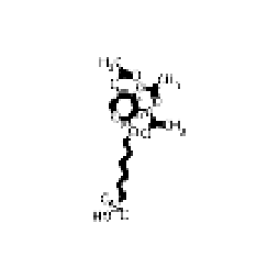 CC(=O)O[C@@H]1[C@@H](OC(C)=O)[C@H](OCCCCCCS(=O)(=O)O)OC[C@H]1OC(C)=O